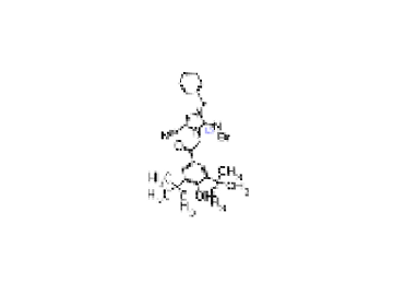 CC(C)(C)c1cc(C(=O)Cn2c(C#N)cn(Cc3ccccc3)/c2=N/Br)cc(C(C)(C)C)c1O